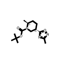 Cc1noc([C@H]2CC[C@H](C)N(C(=O)OC(C)(C)C)C2)n1